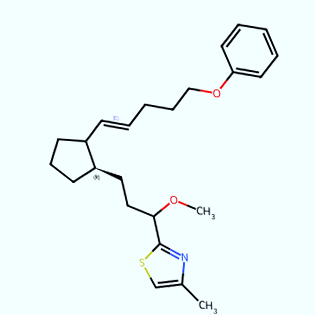 COC(CC[C@H]1CCCC1/C=C/CCCOc1ccccc1)c1nc(C)cs1